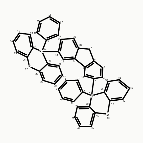 c1ccc([Si]2(c3ccc4c(c3)-c3cc([Si]5(c6ccccc6)c6ccccc6Sc6ccccc65)ccc3C4)c3ccccc3Sc3ccccc32)cc1